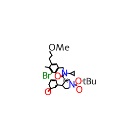 COCCCc1cc(CN(C(=O)[C@H]2CN(C(=O)OC(C)(C)C)CCC2C2=CC(=O)CC=C2)C2CC2)cc(Br)c1C